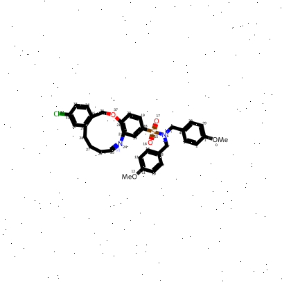 COc1ccc(CN(Cc2ccc(OC)cc2)S(=O)(=O)c2ccc3c(c2)/N=C\CCCc2cc(Cl)ccc2CO3)cc1